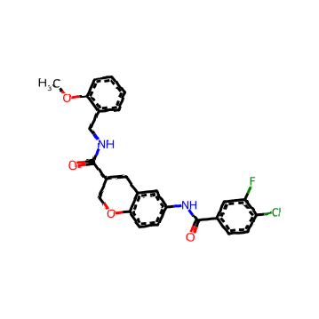 COc1ccccc1CNC(=O)C1COc2ccc(NC(=O)c3ccc(Cl)c(F)c3)cc2C1